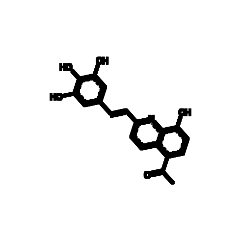 CC(=O)c1ccc(O)c2nc(/C=C/c3cc(O)c(O)c(O)c3)ccc12